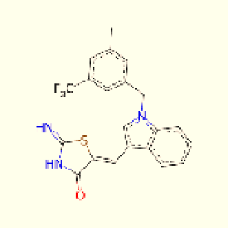 Cc1cc(Cn2cc(/C=C3\SC(=N)NC3=O)c3ccccc32)cc(C(F)(F)F)c1